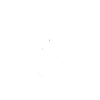 N#C[CH]c1cc(Oc2ccc(F)cc2)ccc1F